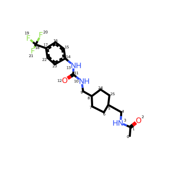 CC(=O)NCC1CCC(CNC(=O)Nc2ccc(C(F)(F)F)cc2)CC1